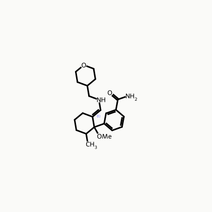 COC1(c2cccc(C(N)=O)c2)/C(=C/NCC2CCOCC2)CCCC1C